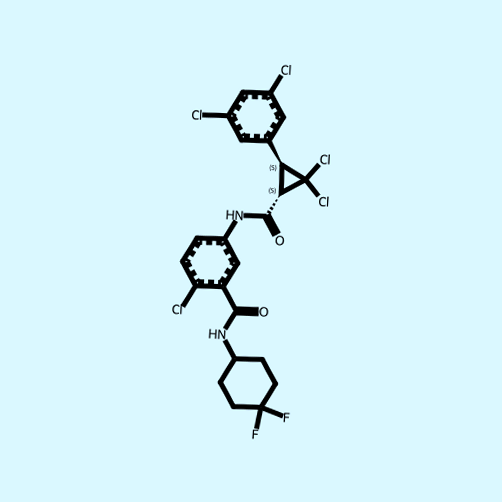 O=C(NC1CCC(F)(F)CC1)c1cc(NC(=O)[C@@H]2[C@@H](c3cc(Cl)cc(Cl)c3)C2(Cl)Cl)ccc1Cl